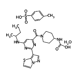 CCC(C)Nc1cc(C(=O)N2CCC(NC(=O)O)CC2)nc(-c2cnn3ccsc23)n1.Cc1ccc(S(=O)(=O)O)cc1.O